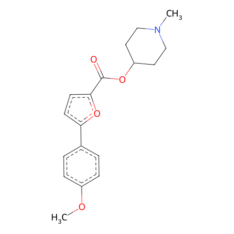 COc1ccc(-c2ccc(C(=O)OC3CCN(C)CC3)o2)cc1